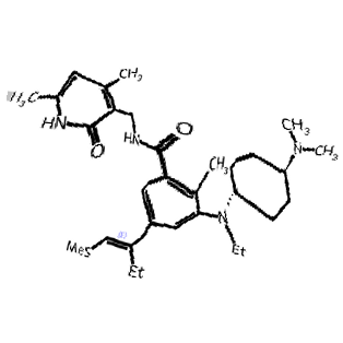 CC/C(=C\SC)c1cc(C(=O)NCc2c(C)cc(C)[nH]c2=O)c(C)c(N(CC)[C@H]2CC[C@H](N(C)C)CC2)c1